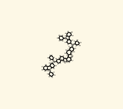 c1ccc(N(c2ccc3c(ccc4c3oc3ccc5oc6c7ccc(N(c8ccccc8)c8ccc9c(c8)c8ccccc8n9-c8ccccc8)cc7ccc6c5c34)c2)c2ccc3c(c2)c2ccccc2n3-c2ccccc2)cc1